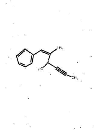 CC#CC(O)C(C)=Cc1ccccc1